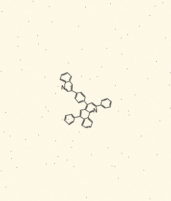 c1ccc(-c2cc(-c3ccc(-c4cnc5ccccc5c4)cc3)c3cc(-c4ccccc4)c4ccccc4c3n2)cc1